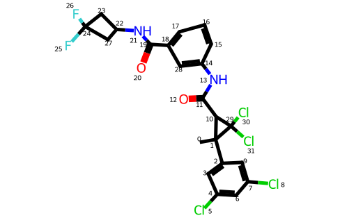 CC1(c2cc(Cl)cc(Cl)c2)C(C(=O)Nc2cccc(C(=O)NC3CC(F)(F)C3)c2)C1(Cl)Cl